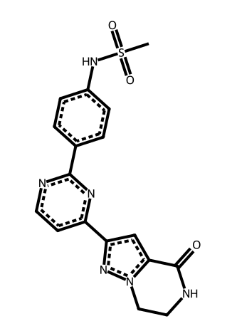 CS(=O)(=O)Nc1ccc(-c2nccc(-c3cc4n(n3)CCNC4=O)n2)cc1